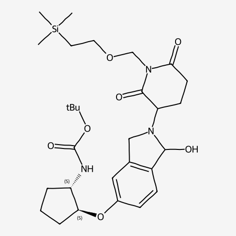 CC(C)(C)OC(=O)N[C@H]1CCC[C@@H]1Oc1ccc2c(c1)CN(C1CCC(=O)N(COCC[Si](C)(C)C)C1=O)C2O